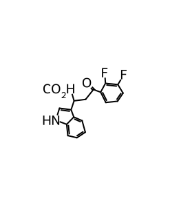 O=C(CC(C(=O)O)c1c[nH]c2ccccc12)c1cccc(F)c1F